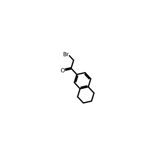 O=C(CBr)c1ccc2c(c1)CCCC2